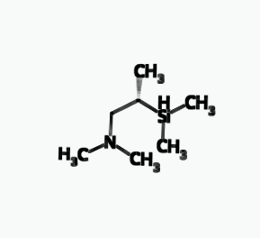 C[C@@H](CN(C)C)[SiH](C)C